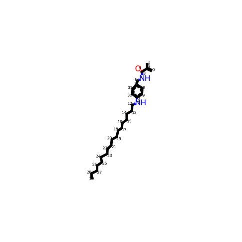 C=C(C)C(=O)NCc1ccc(NCCCCCCCCCCCCCCCCCC)cc1